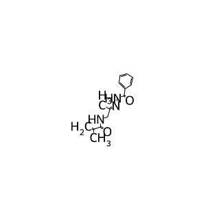 C=C(C)C(=O)NC/C(C)=N/NC(=O)c1ccccc1